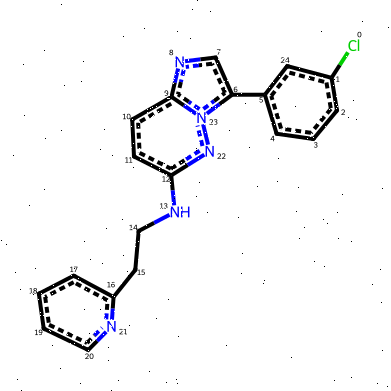 Clc1cccc(-c2cnc3ccc(NCCc4ccccn4)nn23)c1